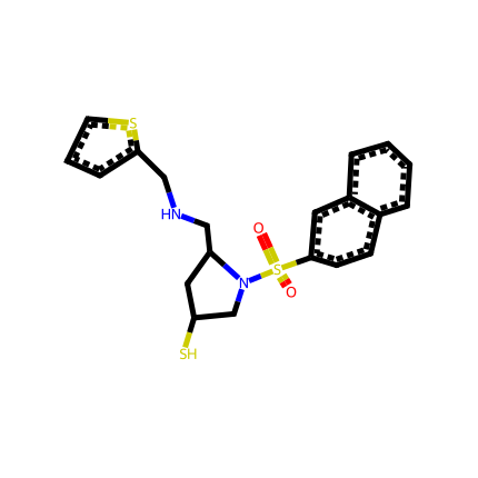 O=S(=O)(c1ccc2ccccc2c1)N1CC(S)CC1CNCc1cccs1